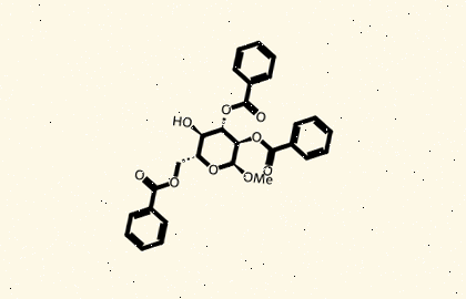 CO[C@H]1O[C@H](COC(=O)c2ccccc2)[C@@H](O)[C@H](OC(=O)c2ccccc2)[C@H]1OC(=O)c1ccccc1